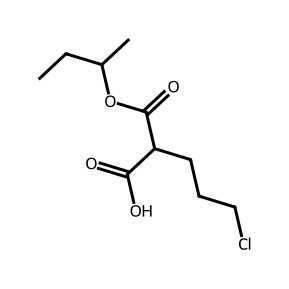 CCC(C)OC(=O)C(CCCCl)C(=O)O